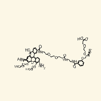 [N-]=[N+]=NC(COc1cccc(C(=O)NCCNC(=O)CCOCCOCCNC(=O)c2ccc(C(=O)O)c(-c3c4ccc(=N)c(SOOO)c-4oc4c(SOOO)c(N)ccc34)c2)c1)OCCOCC(=O)O